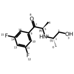 C[C@@H](CO)N[C@H](C)C(=O)c1cc(F)cc(F)c1